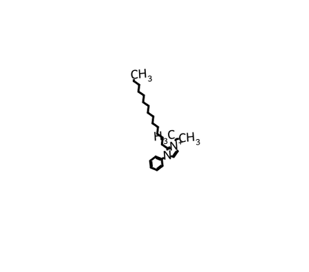 CCCCCCCCCCCCCCc1n(-c2ccccc2)cc[n+]1C(C)C